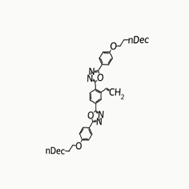 C=Cc1cc(-c2nnc(-c3ccc(OCCCCCCCCCCCC)cc3)o2)ccc1-c1nnc(-c2ccc(OCCCCCCCCCCCC)cc2)o1